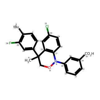 CC(C)(C)c1ccc(C2(C)CON(c3cccc(C(=O)O)c3)c3ccc(Cl)cc32)cc1F